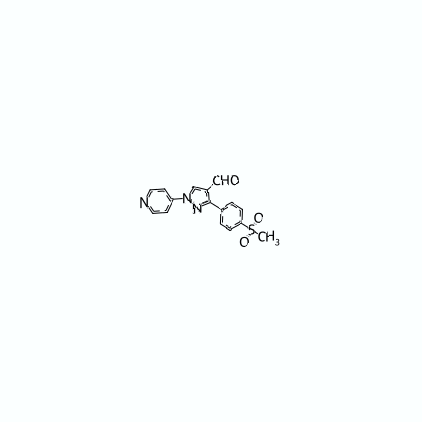 CS(=O)(=O)c1ccc(-c2nn(-c3ccncc3)cc2C=O)cc1